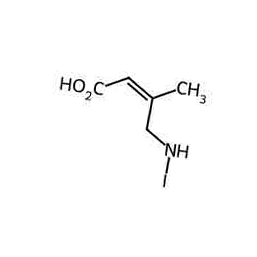 CC(=CC(=O)O)CNI